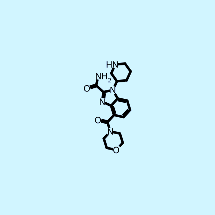 NC(=O)c1nc2c(C(=O)N3CCOCC3)cccc2n1C1CCCNC1